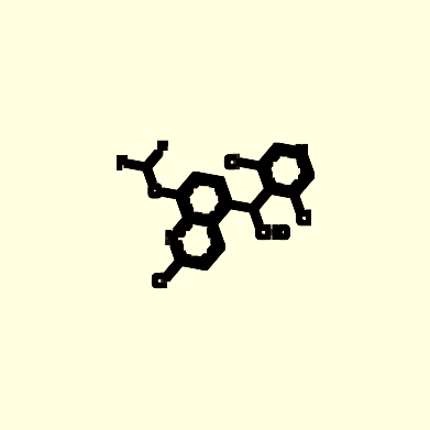 O=CC(c1c(Cl)cncc1Cl)c1ccc(OC(F)F)c2nc(Cl)ccc12